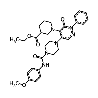 CCOC(=O)C1CCCN(c2c(N3CCN(C(=O)Nc4ccc(OC)cc4)CC3)cnn(-c3ccccc3)c2=O)C1